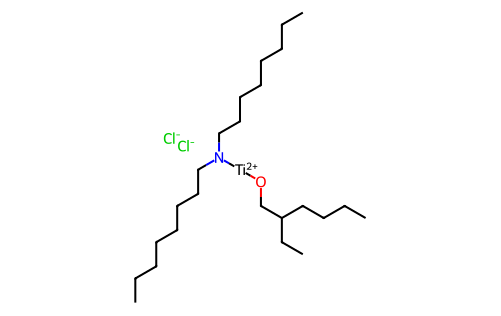 CCCCCCCC[N](CCCCCCCC)[Ti+2][O]CC(CC)CCCC.[Cl-].[Cl-]